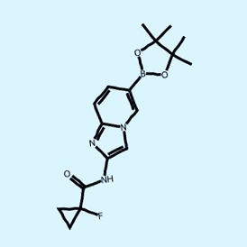 CC1(C)OB(c2ccc3nc(NC(=O)C4(F)CC4)cn3c2)OC1(C)C